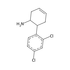 NC1CC=CCC1c1ccc(Cl)cc1Cl